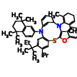 CCC(C)(C)c1cc2c(cc1C(C)C)Sc1oc3ccccc3c1N(C1=C(C)CCC=C1C)C1C=C(C=CC1)N2c1ccc2c(c1)C(C)(C)CCC2(C)C